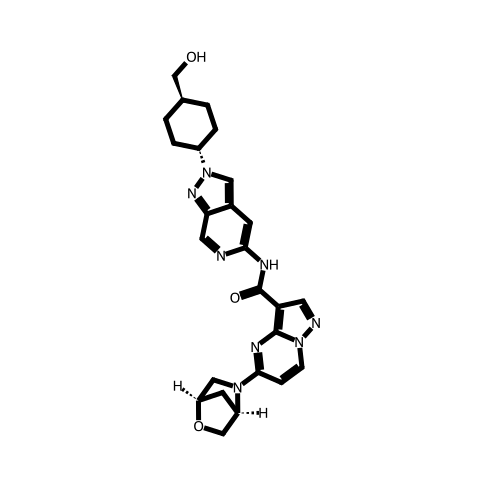 O=C(Nc1cc2cn([C@H]3CC[C@H](CO)CC3)nc2cn1)c1cnn2ccc(N3C[C@H]4C[C@@H]3CO4)nc12